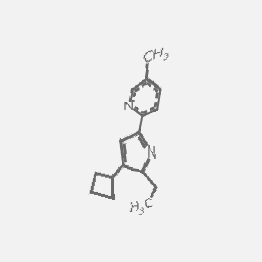 CCC1N=C(c2ccc(C)cn2)C=C1C1CCC1